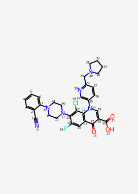 N#Cc1ccccc1N1CCN(c2c(F)cc3c(=O)c(C(=O)O)cn(-c4ccc(CN5CCCC5)nc4)c3c2Cl)CC1